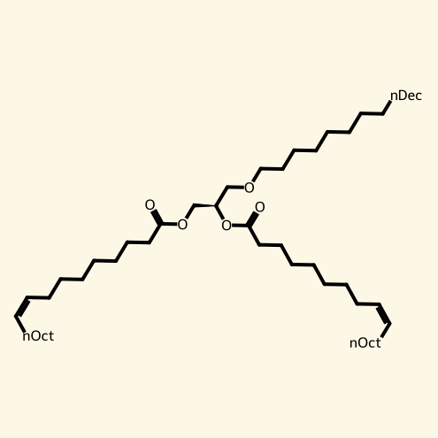 CCCCCCCC/C=C\CCCCCCCC(=O)OC[C@@H](COCCCCCCCCCCCCCCCCCC)OC(=O)CCCCCCC/C=C\CCCCCCCC